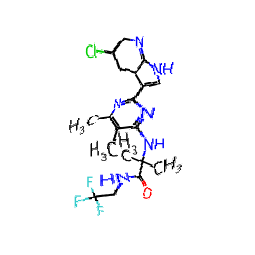 Cc1nc(C2=CNC3=NCC(Cl)CC23)nc(NC(C)(C)C(=O)NCC(F)(F)F)c1C